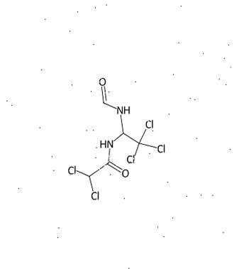 O=CNC(NC(=O)C(Cl)Cl)C(Cl)(Cl)Cl